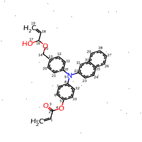 C=CC(=O)Oc1ccc(N(c2ccc(COC(O)C=C)cc2)c2ccc3ccccc3c2)cc1